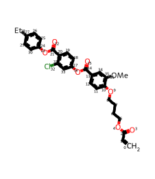 C=CC(=O)OCCCCOc1ccc(C(=O)Oc2ccc(C(=O)Oc3ccc(CC)cc3)c(Cl)c2)cc1OC